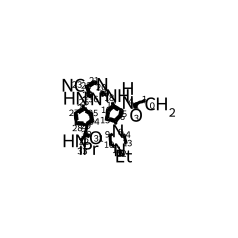 C=CC(=O)Nc1cc(N2CCN(CC)CC2)ccc1Nc1ncc(C#N)c(Nc2ccc(C(=O)NC(C)C)cc2)n1